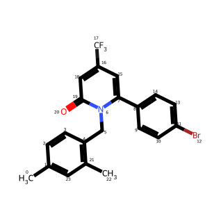 Cc1ccc(Cn2c(-c3ccc(Br)cc3)cc(C(F)(F)F)cc2=O)c(C)c1